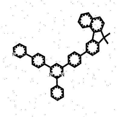 CC1(C)c2ccc(-c3ccc(-c4cc(-c5ccc(-c6cccnc6)cc5)nc(-c5ccccc5)n4)cc3)cc2-c2c1ccc1ccccc21